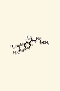 C=N/C=N\C=C(/C)c1ccc(S[C@@H](C)C(C)C)cc1